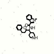 C[C@@H](CC(=O)C(NC(=O)c1cn(C)c2ccccc12)C1CCNCC1)c1ccccc1